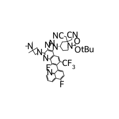 CN(C)C1(C)CN(c2nc3c(F)c(-c4ccc(F)c5cccnc45)c(C(F)(F)F)cc3c3c2nnn3[C@H]2CCN(C(=O)OC(C)(C)C)C(CC#N)(CC#N)C2)C1